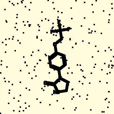 O=C1NC[CH]N1c1ccc(OCC(F)(F)F)cc1